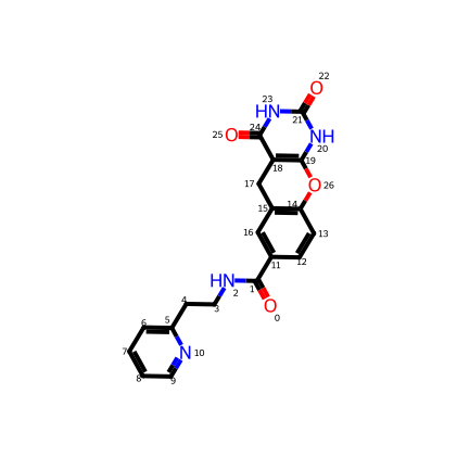 O=C(NCCc1ccccn1)c1ccc2c(c1)Cc1c([nH]c(=O)[nH]c1=O)O2